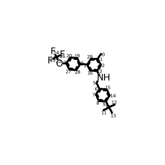 Cc1cc(NCc2ccc(C(C)(C)C)cc2)cc(-c2ccc(OC(F)(F)F)cc2)c1